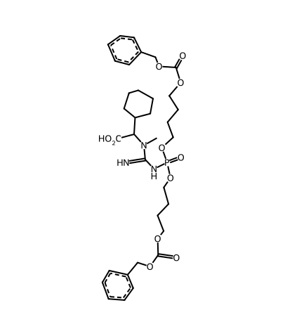 CN(C(=N)NP(=O)(OCCCCOC(=O)OCc1ccccc1)OCCCCOC(=O)OCc1ccccc1)C(C(=O)O)C1CCCCC1